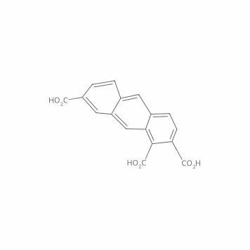 O=C(O)c1ccc2cc3ccc(C(=O)O)c(C(=O)O)c3cc2c1